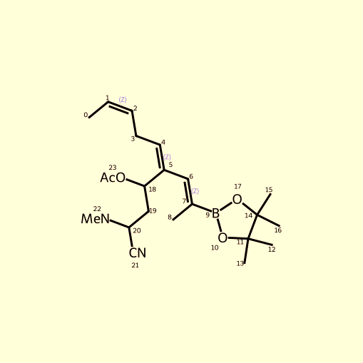 C/C=C\C/C=C(/C=C(\C)B1OC(C)(C)C(C)(C)O1)C(CC(C#N)NC)OC(C)=O